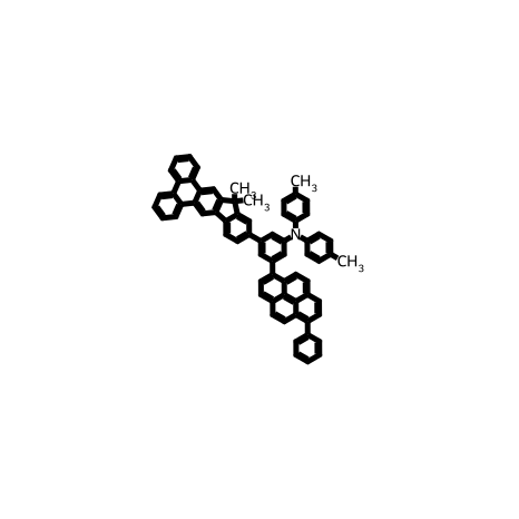 Cc1ccc(N(c2ccc(C)cc2)c2cc(-c3ccc4c(c3)C(C)(C)c3cc5c6ccccc6c6ccccc6c5cc3-4)cc(-c3ccc4ccc5c(-c6ccccc6)ccc6ccc3c4c65)c2)cc1